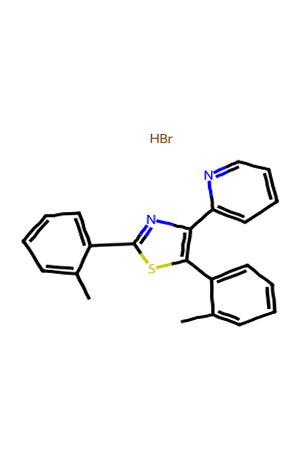 Br.Cc1ccccc1-c1nc(-c2ccccn2)c(-c2ccccc2C)s1